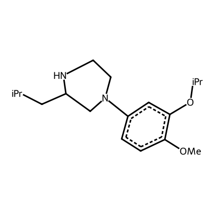 COc1ccc(N2CCNC(CC(C)C)C2)cc1OC(C)C